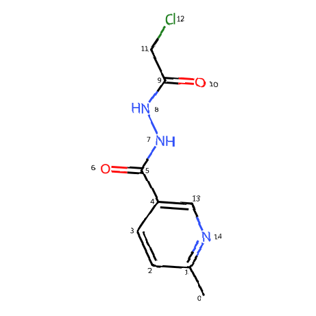 Cc1ccc(C(=O)NNC(=O)CCl)cn1